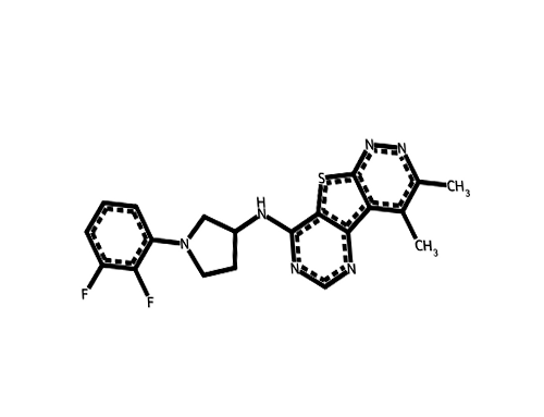 Cc1nnc2sc3c(NC4CCN(c5cccc(F)c5F)C4)ncnc3c2c1C